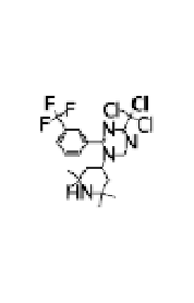 CC1(C)CC(N2CN=C(C(Cl)(Cl)Cl)N=C2c2cccc(C(F)(F)F)c2)CC(C)(C)N1